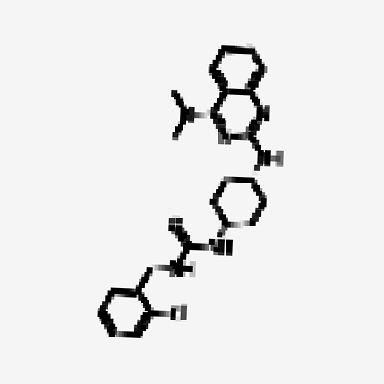 CN(C)c1nc(N[C@H]2CC[C@@H](NC(=O)NCc3ccccc3Cl)CC2)nc2ccccc12